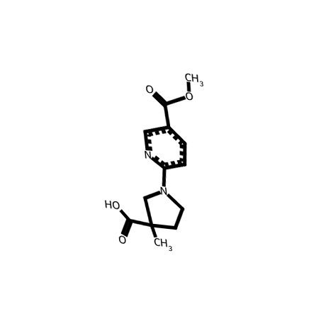 COC(=O)c1ccc(N2CCC(C)(C(=O)O)C2)nc1